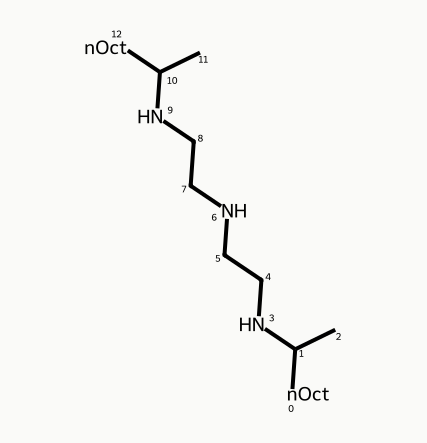 CCCCCCCCC(C)NCCNCCNC(C)CCCCCCCC